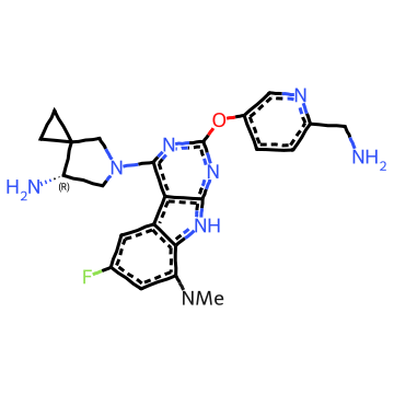 CNc1cc(F)cc2c1[nH]c1nc(Oc3ccc(CN)nc3)nc(N3C[C@H](N)C4(CC4)C3)c12